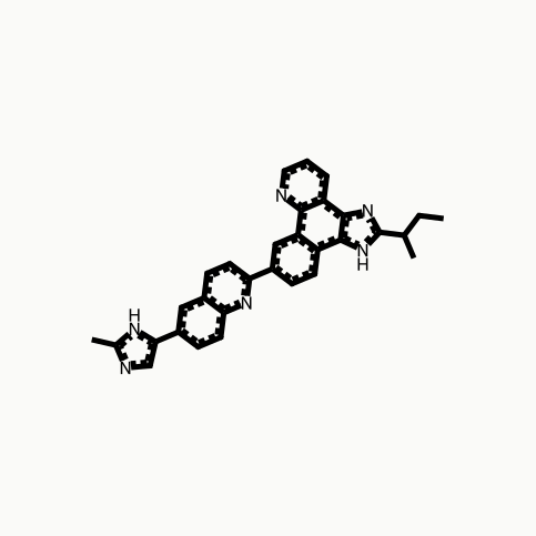 CCC(C)c1nc2c3cccnc3c3cc(-c4ccc5cc(-c6cnc(C)[nH]6)ccc5n4)ccc3c2[nH]1